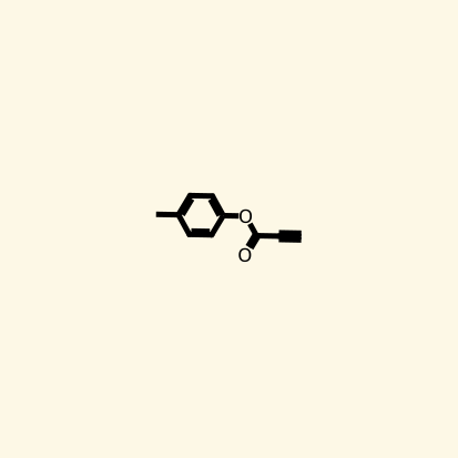 C#CC(=O)Oc1ccc(C)cc1